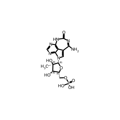 C[C@@]1(O)[C@H](O)[C@@H](COP(=O)(O)O)O[C@H]1n1cc2c3c(ncnc31)NC(=O)N=C2N